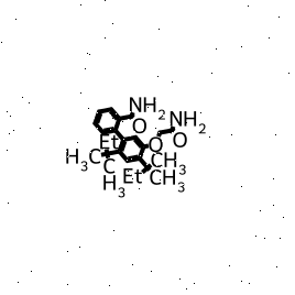 CCC(C)(C)c1cc(C(C)(C)CC)c(-c2ccccc2C(N)=O)cc1OCC(N)=O